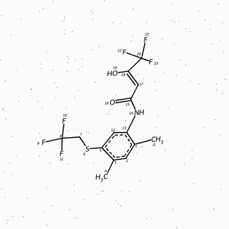 Cc1cc(C)c(SCC(F)(F)F)cc1NC(=O)C=C(O)C(F)(F)F